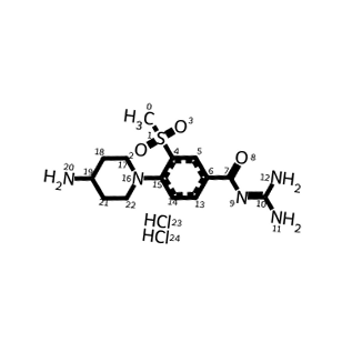 CS(=O)(=O)c1cc(C(=O)N=C(N)N)ccc1N1CCC(N)CC1.Cl.Cl